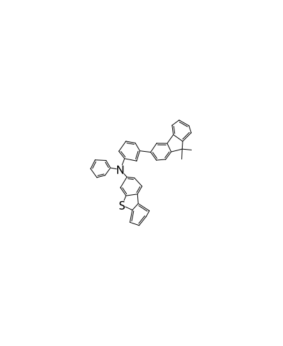 CC1(C)c2ccccc2-c2cc(-c3cccc(N(c4ccccc4)c4ccc5c(c4)sc4ccccc45)c3)ccc21